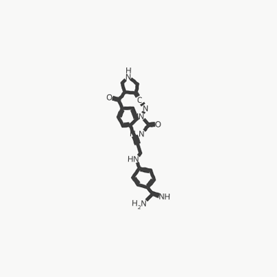 N=C(N)c1ccc(NCC#Cc2ccc(C(=O)C3CNCC3=C=NNC(N)=O)cc2)cc1